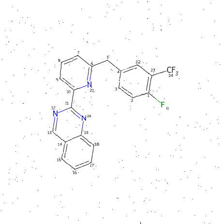 Fc1ccc(Cc2cccc(-c3ncc4ccccc4n3)n2)cc1C(F)(F)F